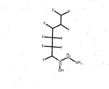 O[SiH]([SiH2][SiH3])C(F)C(F)(F)C(F)(F)C(F)C(F)C(F)F